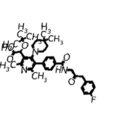 Cc1nc(C)c(C(OC(C)(C)C)C(=O)O)c(N2CCC(C)(C)CC2)c1-c1ccc(C(=O)NCC(=O)Cc2ccc(F)cc2)cc1